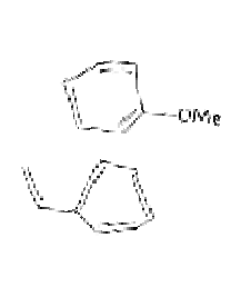 C=Cc1ccccc1.COc1ccccc1